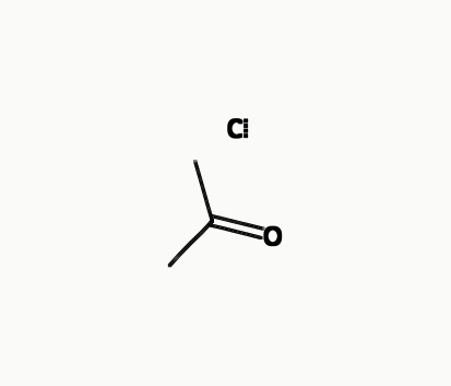 CC(C)=O.[C]